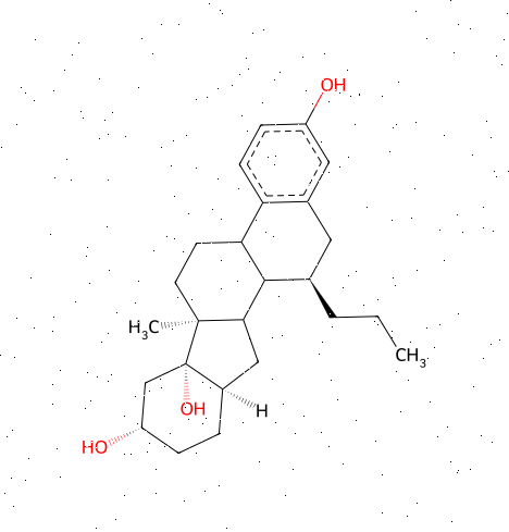 CCC[C@@H]1Cc2cc(O)ccc2C2CC[C@@]3(C)C(C[C@H]4CC[C@H](O)C[C@]43O)C21